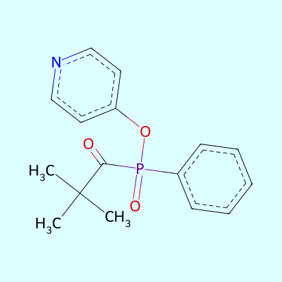 CC(C)(C)C(=O)P(=O)(Oc1ccncc1)c1ccccc1